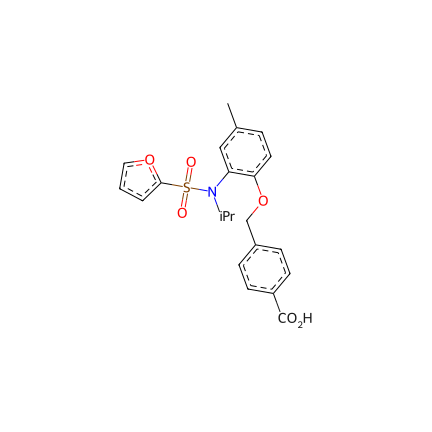 Cc1ccc(OCc2ccc(C(=O)O)cc2)c(N(C(C)C)S(=O)(=O)c2ccco2)c1